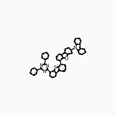 c1ccc(-c2nc(-c3ccccc3)nc(-c3cccc4c3sc3c(-c5cccc6c5oc5cc(-n7c8ccccc8c8ccccc87)ccc56)cccc34)n2)cc1